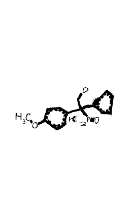 COc1ccc(C(C=O)([PH2]=O)c2ccccc2)cc1